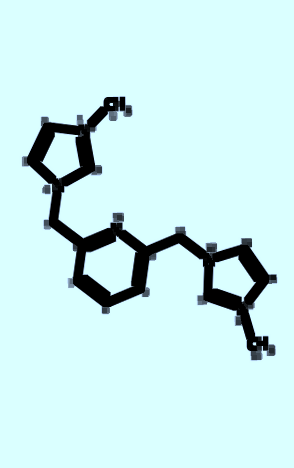 C[n+]1ccn(Cc2cccc(Cn3cc[n+](C)c3)n2)c1